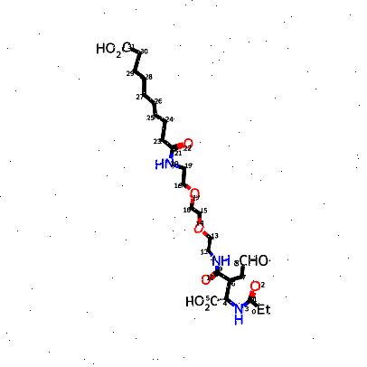 CCC(=O)N[C@H](C(=O)O)C(C[C]=O)C(=O)NCCOCCOCCNC(=O)CCCCCCCCC(=O)O